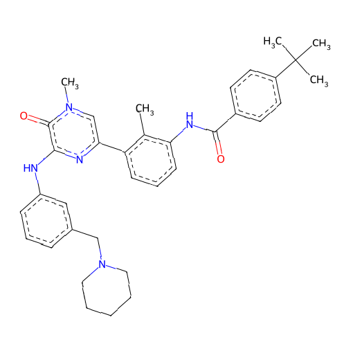 Cc1c(NC(=O)c2ccc(C(C)(C)C)cc2)cccc1-c1cn(C)c(=O)c(Nc2cccc(CN3CCCCC3)c2)n1